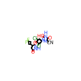 N#CC1=NN(c2cc(Cl)c(Oc3n[nH]c(=O)cc3C3CC(F)(F)C3)c(Cl)c2)C(O)NC1=O